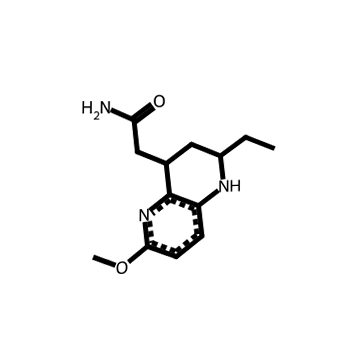 CCC1CC(CC(N)=O)c2nc(OC)ccc2N1